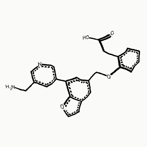 NCc1cncc(-c2cc(COc3ccccc3CC(=O)O)cc3ccoc23)c1